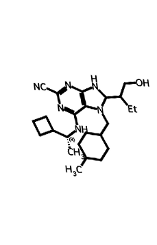 CCC(CO)C1Nc2nc(C#N)nc(N[C@H](C)C3CCC3)c2N1CC1CCC(C)CC1